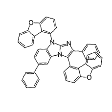 c1ccc(-c2ccc3c(c2)n2c(-c4cccc5oc6ccccc6c45)c(-c4ccccc4)nc2n3-c2cccc3oc4ccccc4c23)cc1